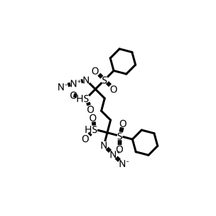 [N-]=[N+]=NC(CCCC(N=[N+]=[N-])([SH](=O)=O)S(=O)(=O)C1CCCCC1)([SH](=O)=O)S(=O)(=O)C1CCCCC1